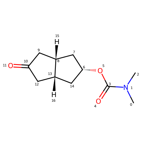 CN(C)C(=O)O[C@H]1C[C@H]2CC(=O)C[C@H]2C1